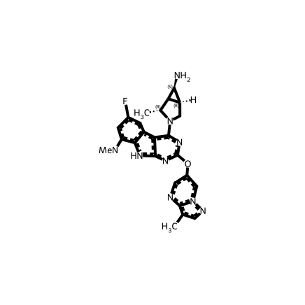 CNc1cc(F)cc2c1[nH]c1nc(Oc3cnc4c(C)cnn4c3)nc(N3C[C@H]4C([C@H]4N)[C@H]3C)c12